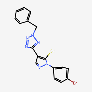 Sc1c(-c2nnn(Cc3ccccc3)n2)cnn1-c1ccc(Br)cc1